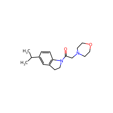 CC(C)c1ccc2c(c1)CCN2C(=O)CN1CCOCC1